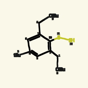 CC(C)COCc1cc(C(C)(C)C)cc(COCC(C)C)c1SS